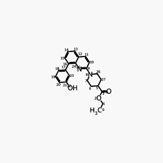 CCOC(=O)C1CCN(c2ccc3cccc(-c4cccc(O)c4)c3n2)CC1